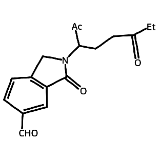 CCC(=O)CCC(C(C)=O)N1Cc2ccc(C=O)cc2C1=O